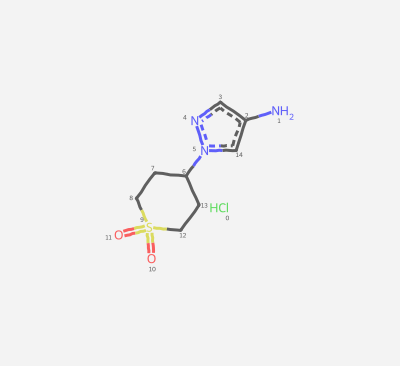 Cl.Nc1cnn(C2CCS(=O)(=O)CC2)c1